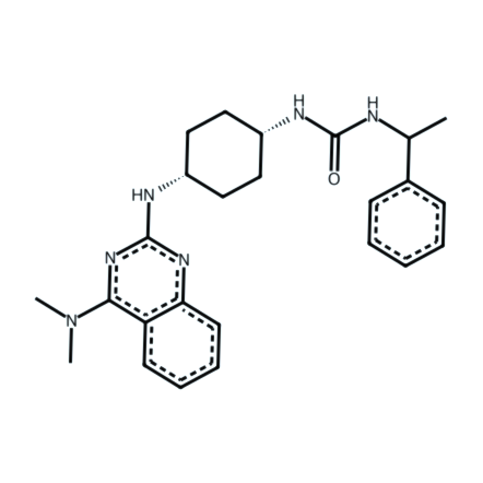 CC(NC(=O)N[C@H]1CC[C@@H](Nc2nc(N(C)C)c3ccccc3n2)CC1)c1ccccc1